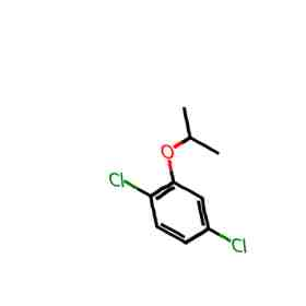 CC(C)Oc1cc(Cl)ccc1Cl